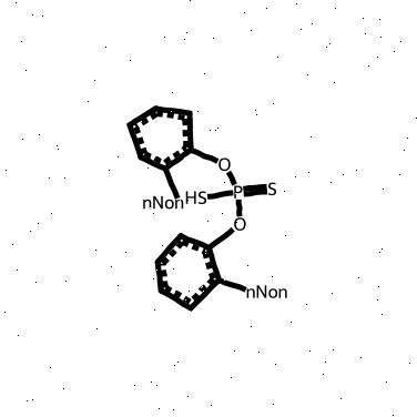 CCCCCCCCCc1ccccc1OP(=S)(S)Oc1ccccc1CCCCCCCCC